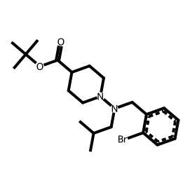 CC(C)CN(Cc1ccccc1Br)N1CCC(C(=O)OC(C)(C)C)CC1